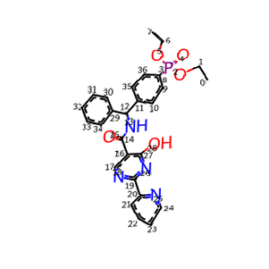 CCOP(=O)(OCC)c1ccc(C(NC(=O)c2cnc(-c3ccccn3)nc2O)c2ccccc2)cc1